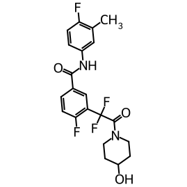 Cc1cc(NC(=O)c2ccc(F)c(C(F)(F)C(=O)N3CCC(O)CC3)c2)ccc1F